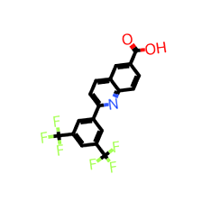 O=C(O)c1ccc2nc(-c3cc(C(F)(F)F)cc(C(F)(F)F)c3)ccc2c1